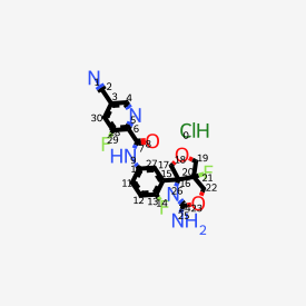 Cl.N#Cc1cnc(C(=O)Nc2ccc(F)c(C34COCC3(F)COC(N)=N4)c2)c(F)c1